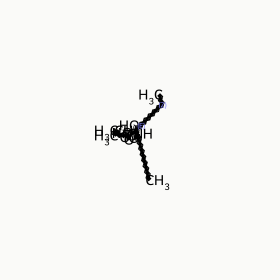 CCC/C=C\CCCCCCCC/C=C/[C@@H](O)[C@H](COP(=O)([O-])OCC[N+](C)(C)C)NC(=O)CCCCCCCCCCCCCCC